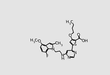 CCCCOc1cc(-c2cc(NCCn3c(C)cc4c(OC)ccc(F)c43)ncn2)sc1C(=O)O